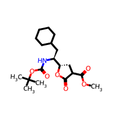 COC(=O)C1C[C@@H]([C@H](CC2CCCCC2)NC(=O)OC(C)(C)C)OC1=O